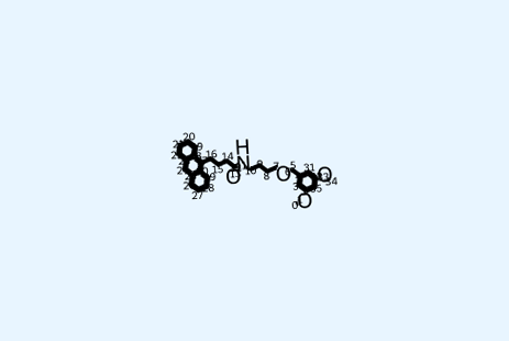 COc1cc(COCCCCNC(=O)CCCc2c3ccccc3cc3ccccc23)cc(OC)c1